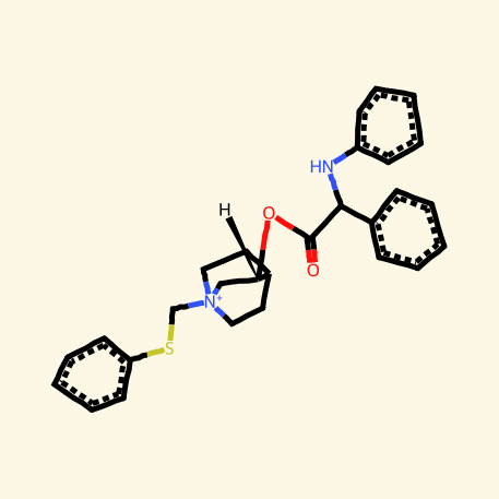 O=C(O[C@H]1C[N+]2(CSc3ccccc3)CCC1CC2)C(Nc1ccccc1)c1ccccc1